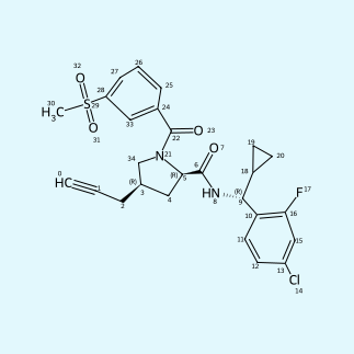 C#CC[C@@H]1C[C@H](C(=O)N[C@@H](c2ccc(Cl)cc2F)C2CC2)N(C(=O)c2cccc(S(C)(=O)=O)c2)C1